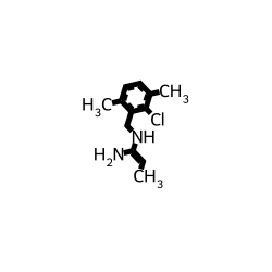 CC=C(N)NCc1c(C)ccc(C)c1Cl